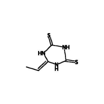 CC=C1NC(=S)NC(=S)N1